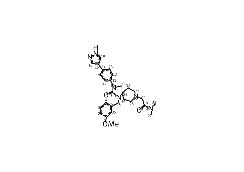 COc1cccc(CN2C(=O)N(c3ccc(-c4cn[nH]c4)cc3)CC23CCN(CC(=O)N(C)C)CC3)c1